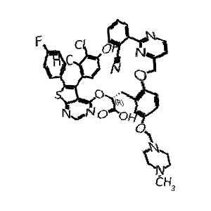 Cc1c(-c2c(-c3ccc(F)cc3)sc3ncnc(O[C@H](Cc4cc(OCN5CCN(C)CC5)ccc4OCc4ccnc(-c5ccccc5C#N)n4)C(=O)O)c23)ccc(O)c1Cl